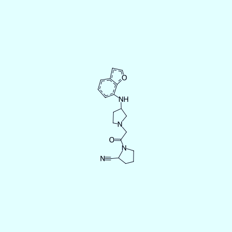 N#CC1CCCN1C(=O)CN1CCC(Nc2cccc3ccoc23)C1